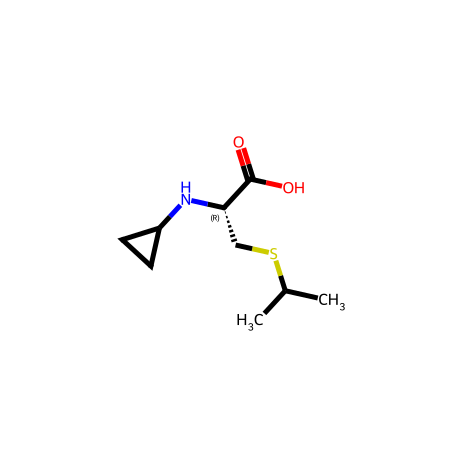 CC(C)SC[C@H](NC1CC1)C(=O)O